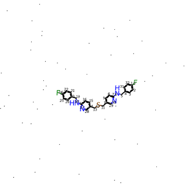 Fc1ccc(CNc2ccc(CSCc3ccc(NCc4ccc(F)cc4)nc3)cn2)cc1